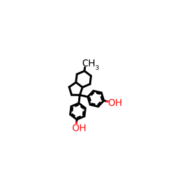 CC1CCC2C(CCC2(c2ccc(O)cc2)c2ccc(O)cc2)C1